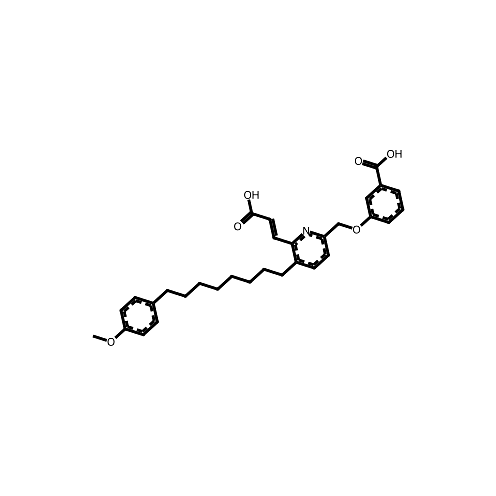 COc1ccc(CCCCCCCCc2ccc(COc3cccc(C(=O)O)c3)nc2C=CC(=O)O)cc1